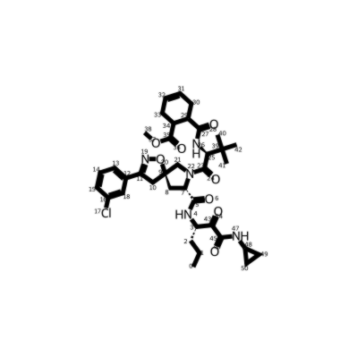 CCC[C@H](NC(=O)[C@@H]1C[C@]2(CC(c3cccc(Cl)c3)=NO2)CN1C(=O)[C@@H](NC(=O)C1CC=CCC1C(=O)OC)C(C)(C)C)C(=O)C(=O)NC1CC1